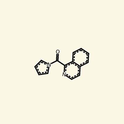 O=C(c1nccc2ccccc12)n1cccc1